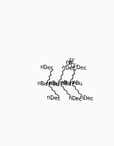 CCCCCCCCCCCCCCCC[N+](CCCC)(CCCC)CCCCCCCCCCCCCCCC.CCCCCCCCCCCCCCCC[N+](CCCC)(CCCC)CCCCCCCCCCCCCCCC.CCCCCCCCCCCCCCCC[N+](CCCC)(CCCC)CCCCCCCCCCCCCCCC.[O-]P([O-])[O-]